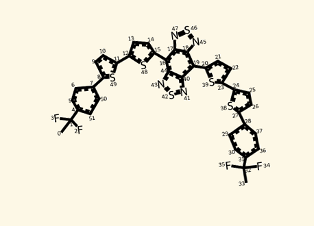 CC(F)(F)c1ccc(-c2ccc(-c3ccc(-c4c5c(c(-c6ccc(-c7ccc(-c8ccc(C(C)(F)F)cc8)s7)s6)c6nsnc46)N=S=N5)s3)s2)cc1